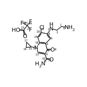 NCCNc1cc2c(=O)c(C(N)=O)cn(C3CC3)c2cc1Cl.O=C(O)C(F)(F)F